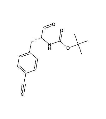 CC(C)(C)OC(=O)N[C@@H](C=O)Cc1ccc(C#N)cc1